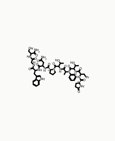 CC(C)CC(NC(=O)[C@@H]1CCC(=O)N1)C(=O)NC(C(=O)N(c1ccccc1)C(C)C(=O)NC(C(=O)N1CCC[C@H]1C(=O)NC(CC(N)=O)C(=O)NC(Cc1c[nH]c2ccccc12)C(=O)NCC(=O)NC(CO)C(N)=O)C(C)O)C(C)O